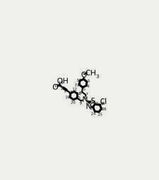 COc1ccc(CCN(Cc2ccc(C#CC(=O)O)cc2)c2nc3cccc(Cl)c3s2)cc1